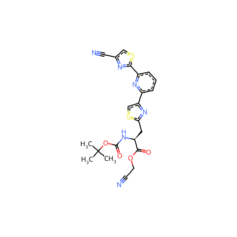 CC(C)(C)OC(=O)N[C@@H](Cc1nc(-c2cccc(-c3nc(C#N)cs3)n2)cs1)C(=O)OCC#N